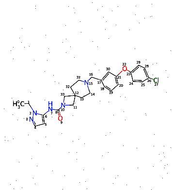 CCn1nccc1NC(=O)N1CC2(CCN(Cc3cccc(Oc4ccc(Cl)cc4)c3)CC2)C1